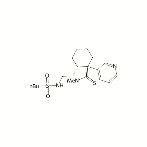 CCCCS(=O)(=O)NCC[C@@H]1CCCC[C@]1(C(=S)NC)c1cccnc1